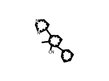 Cc1c(-c2ccncn2)ccc(-c2ccccc2)c1C#N